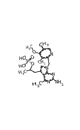 COc1c(C)cnc(Cn2cc(CC(C)OP(=O)(O)O)c3c(C)nc(N)nc32)c1C